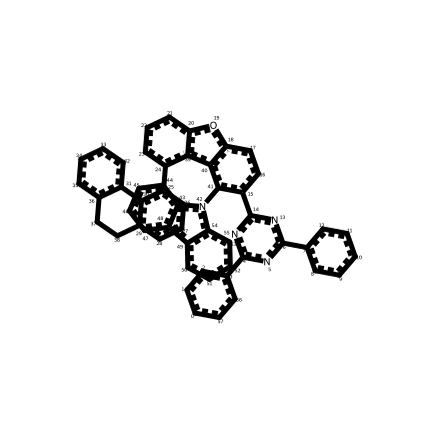 c1ccc(-c2nc(-c3ccccc3)nc(-c3ccc4oc5cccc(-c6cccc7c6-c6ccccc6CC7)c5c4c3-n3c4ccccc4c4ccccc43)n2)cc1